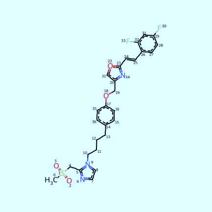 CS(=O)(=O)Cc1nccn1CCCCc1ccc(OCc2coc(C=Cc3ccc(F)cc3F)n2)cc1